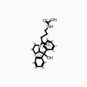 O=C(O)NCCCC(=O)N1CCCC1C(O)(c1ccccc1)c1ccccc1